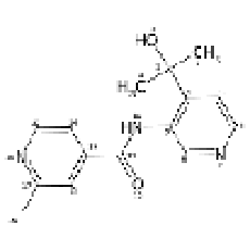 CC(C)(O)c1ccncc1NC(=O)c1ccnc(I)c1